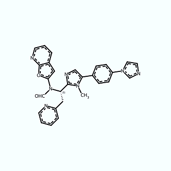 Cn1c(-c2ccc(-n3ccnc3)cc2)cnc1[C@H](Cc1ccccn1)N(C=O)c1cc2cccnc2o1